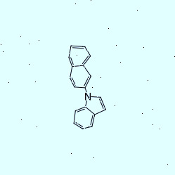 c1ccc2cc(-n3ccc4ccccc43)ccc2c1